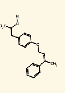 CCOC(Cc1ccc(OC/C=C(/C)c2ccccc2)cc1)C(=O)O